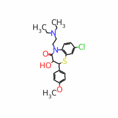 CCN(CC)CCN1C(=O)C(O)C(c2ccc(OC)cc2)Sc2cc(Cl)ccc21